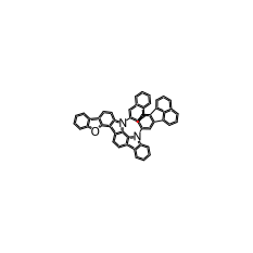 c1ccc2cc(-n3c4ccc5c6ccccc6oc5c4c4ccc5c6ccccc6n(-c6ccc7c(c6)-c6cccc8cccc-7c68)c5c43)ccc2c1